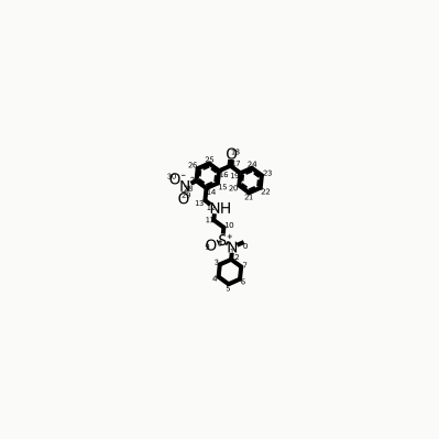 CN(C1CCCCC1)[S+]([O-])CCNCc1cc(C(=O)c2ccccc2)ccc1[N+](=O)[O-]